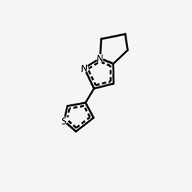 c1cc(-c2cc3n(n2)CCC3)cs1